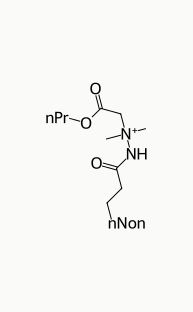 CCCCCCCCCCCC(=O)N[N+](C)(C)CC(=O)OCCC